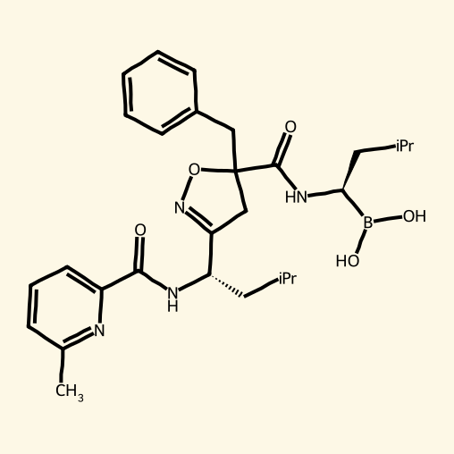 Cc1cccc(C(=O)N[C@@H](CC(C)C)C2=NOC(Cc3ccccc3)(C(=O)N[C@@H](CC(C)C)B(O)O)C2)n1